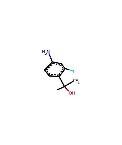 CC(O)(c1ccc(N)cc1F)C(F)(F)F